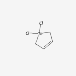 Cl[Te]1(Cl)CC=CC1